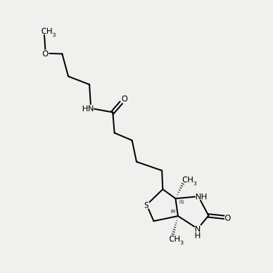 COCCCNC(=O)CCCCC1SC[C@]2(C)NC(=O)N[C@]12C